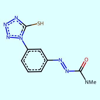 CNC(=O)N=Nc1cccc(-n2nnnc2S)c1